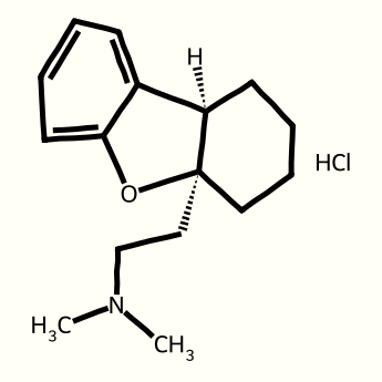 CN(C)CC[C@@]12CCCC[C@@H]1c1ccccc1O2.Cl